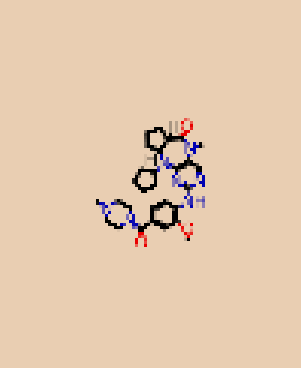 COc1cc(C(=O)N2CCN(C)CC2)ccc1Nc1ncc2c(n1)N(C1CCCC1)[C@@H]1CCC[C@@H]1C(=O)N2C